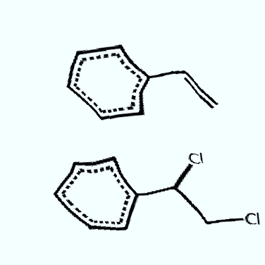 C=Cc1ccccc1.ClCC(Cl)c1ccccc1